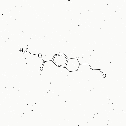 CCOC(=O)c1ccc2c(c1)CCC(CCC=O)C2